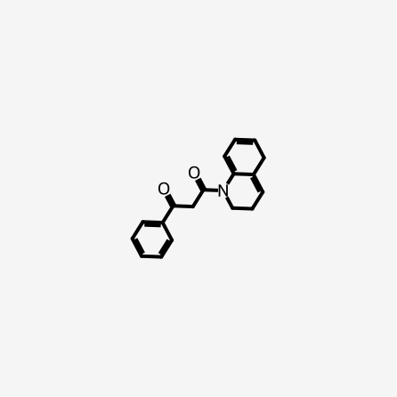 O=C(CC(=O)N1CCC=C2CC=CC=C21)c1ccccc1